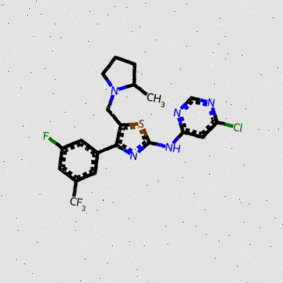 CC1CCCN1Cc1sc(Nc2cc(Cl)ncn2)nc1-c1cc(F)cc(C(F)(F)F)c1